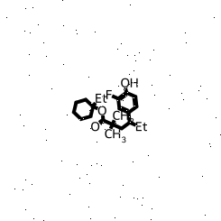 CCC(CC(C)(C)C(=O)OC1(CC)CCCCC1)c1ccc(O)c(F)c1